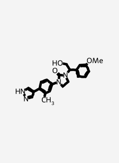 COc1cccc(C(CO)N2CCN(c3ccc(-c4cn[nH]c4)c(C)c3)C2=O)c1